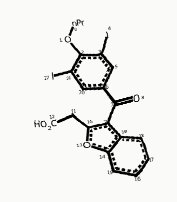 CCCOc1c(I)cc(C(=O)c2c(CC(=O)O)oc3ccccc23)cc1I